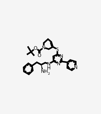 CC(C)(C)OC(=O)N1CCC=C(Sc2cc(NC[C@@H](N)Cc3ccccc3)nc(-c3ccncc3)n2)C1